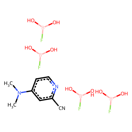 CN(C)c1ccnc(C#N)c1.OB(O)F.OB(O)F.OB(O)F.OB(O)F